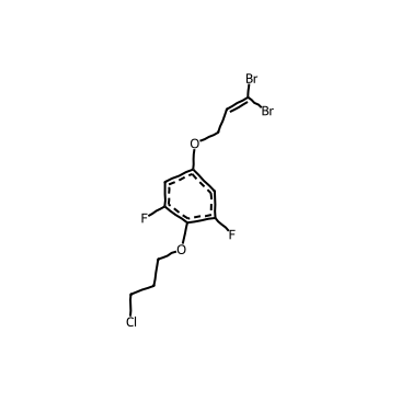 Fc1cc(OCC=C(Br)Br)cc(F)c1OCCCCl